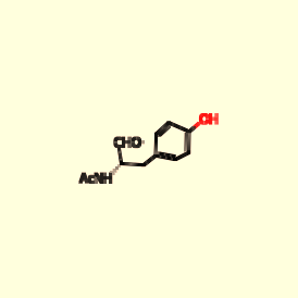 CC(=O)N[C@H]([C]=O)Cc1ccc(O)cc1